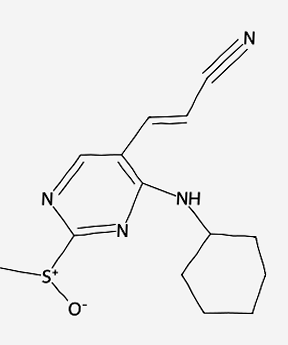 C[S+]([O-])c1ncc(C=CC#N)c(NC2CCCCC2)n1